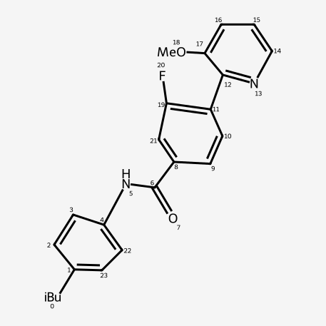 CCC(C)c1ccc(NC(=O)c2ccc(-c3ncccc3OC)c(F)c2)cc1